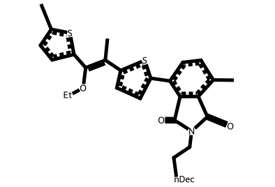 CCCCCCCCCCCCN1C(=O)c2c(C)ccc(-c3ccc(/C(C)=C(\OCC)c4ccc(C)s4)s3)c2C1=O